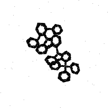 c1ccc(-c2cccc(-c3ccccc3)c2-n2c3ccccc3c3c(-n4c5ccccc5c5c([Si](c6ccccc6)(c6ccccc6)c6ccccc6)cccc54)cccc32)cc1